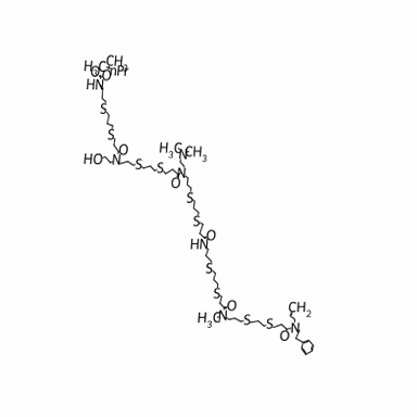 C=CCN(CCc1ccccc1)C(=O)CCSCCCSCCCN(C)C(=O)CCSCCCSCCCNC(=O)CCSCCCSCCCN(CCN(C)C)C(=O)CCSCCCSCCCN(CCO)C(=O)CCSCCCSCCCNC(=O)OC(C)(C)CCC